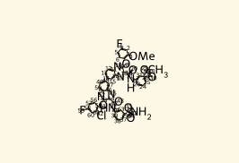 COc1cc(F)ccc1Oc1nc2ccccc2nc1C(=O)Nc1cccc(S(C)(=O)=O)c1.NS(=O)(=O)c1cccc(NC(=O)c2nc3ccccc3nc2Oc2ccc(F)cc2Cl)c1